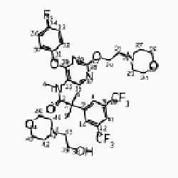 CN(C(=O)C(C)(C)c1cc(C(F)(F)F)cc(C(F)(F)F)c1)c1cnc(OCCN2CCOCC2)nc1Oc1ccc(F)cc1.OCCN1CCOCC1